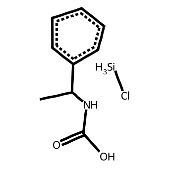 CC(NC(=O)O)c1ccccc1.[SiH3]Cl